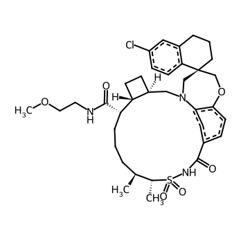 COCCNC(=O)[C@H]1CCC[C@H](C)[C@@H](C)S(=O)(=O)NC(=O)c2ccc3c(c2)N(C[C@@H]2CC[C@H]21)C[C@@]1(CCCc2cc(Cl)ccc21)CO3